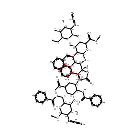 CCC1O[C@H](O[C@@H]2C(C(=O)OC)O[C@@H](O[C@@H]3C(CC)O[C@@H](O[C@H]4C(C(C)=O)O[C@@H](O[C@@H]5C(COC(=O)c6ccccc6)O[C@H](OC)C(N=[N+]=[N-])[C@H]5C)C(OC(=O)c5ccccc5)[C@@H]4OCc4ccccc4)C4NC(=O)O[C@H]43)C(OCc3ccccc3)[C@H]2C)C(N=[N+]=[N-])[C@@H](C)[C@@H]1C